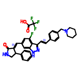 O=C(O)C(F)(F)F.O=C1NCC(c2ccccc2)/C1=C\c1cc(F)c2c(/C=C/c3ccc(CN4CCCCC4)cc3)n[nH]c2c1